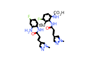 Cn1cc(C=CC(=O)Nc2c(NC(=O)O)ccc(F)c2C(C)(C)C)cn1.Cn1cc(C=CC(=O)Nc2ccc(F)cc2N)cn1